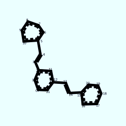 [c]1cc(C=Cc2ccccc2)cc(C=Cc2ccccc2)c1